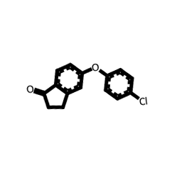 O=C1CCc2cc(Oc3ccc(Cl)cc3)ccc21